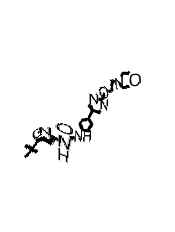 CC(C)(C)c1cc(NC(=O)Nc2ccc(-c3cnc(OCCN4CCOCC4)nc3)cc2)no1